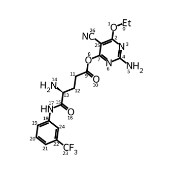 CCOc1nc(N)nc(OC(=O)CC[C@H](N)C(=O)Nc2cccc(C(F)(F)F)c2)c1C#N